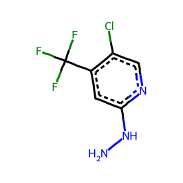 NNc1cc(C(F)(F)F)c(Cl)cn1